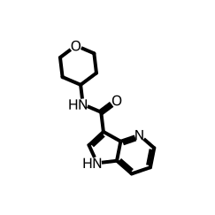 O=C(NC1CCOCC1)c1c[nH]c2cccnc12